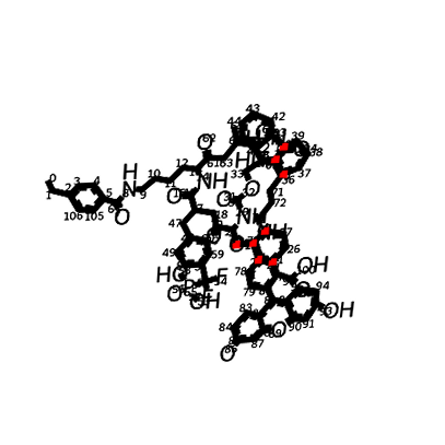 CCc1ccc(C(=O)NCCCCC(NC(=O)C(CC(=O)C(Cc2ccccc2)NC(=O)OCC2c3ccccc3-c3ccccc32)Cc2ccc(C(F)(F)P(=O)(O)O)cc2)C(=O)CC(C)C(=O)NC(CCCCNC(=O)c2ccc(-c3c4ccc(=O)cc-4oc4cc(O)ccc34)c(C(=O)O)c2)C(N)=O)cc1